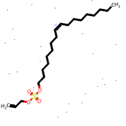 C=CCOS(=O)(=O)OCCCCCCCC/C=C\CCCCCCCC